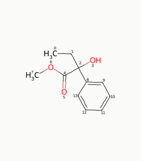 CCC(O)(C(=O)OC)c1ccccc1